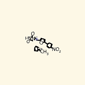 C[n+]1ccccc1.O=C1CN(/N=C/c2ccc(-c3ccc([N+](=O)[O-])cc3)o2)C(=O)N1